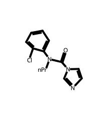 CCCN(C(=O)n1ccnc1)c1ccccc1Cl